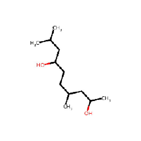 CC(C)CC(O)CCC(C)CC(C)O